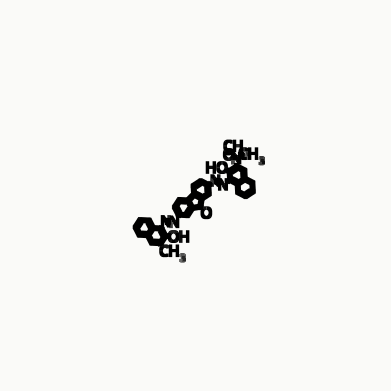 CON(C)c1cc2c(c(N=Nc3ccc4c(c3)C(=O)c3cc(N=Nc5c(O)c(C)cc6ccccc56)ccc3-4)c1O)CC=CC2